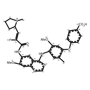 COc1cc2ncnc(Nc3cc(C)c(Oc4ccc(C(=O)O)cc4)cc3OC)c2cc1NC(=O)C(F)=CC1CCCN1C